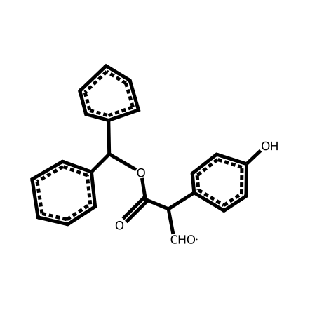 O=[C]C(C(=O)OC(c1ccccc1)c1ccccc1)c1ccc(O)cc1